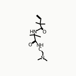 C=CC(C)(C)C(=O)NC(C)(C)C(=O)NCCN(C)C